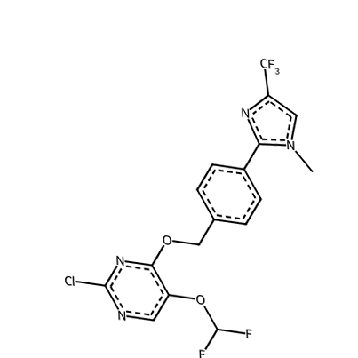 Cn1cc(C(F)(F)F)nc1-c1ccc(COc2nc(Cl)ncc2OC(F)F)cc1